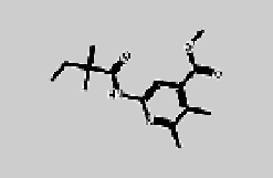 CCC(C)(C)C(=O)Nc1cc(C(=O)OC)c(C)c(C)n1